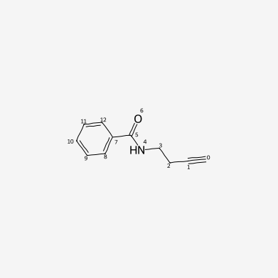 C#CCCNC(=O)c1ccccc1